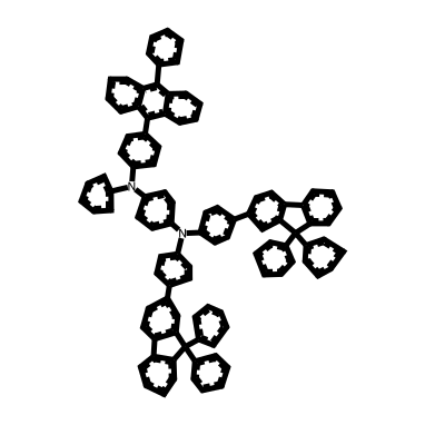 c1ccc(-c2c3ccccc3c(-c3ccc(N(c4ccccc4)c4ccc(N(c5ccc(-c6ccc7c(c6)C(c6ccccc6)(c6ccccc6)c6ccccc6-7)cc5)c5ccc(-c6ccc7c(c6)C(c6ccccc6)(c6ccccc6)c6ccccc6-7)cc5)cc4)cc3)c3ccccc23)cc1